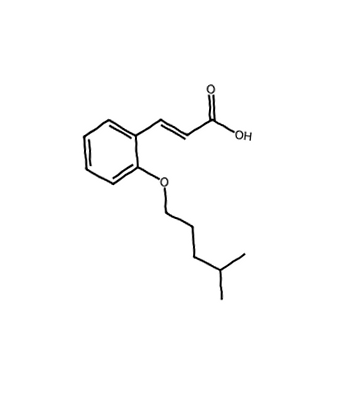 CC(C)CCCOc1ccccc1/C=C/C(=O)O